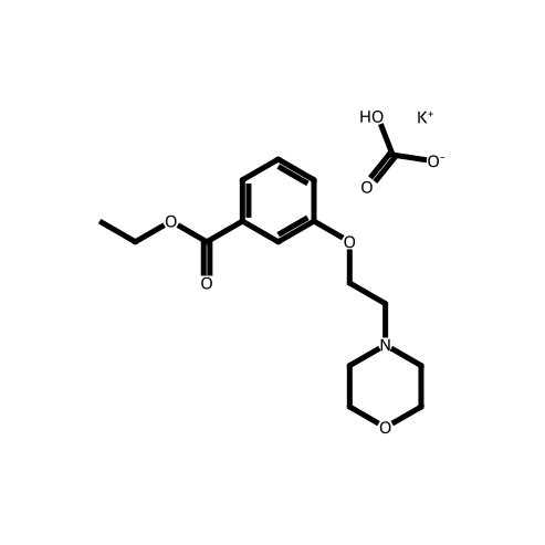 CCOC(=O)c1cccc(OCCN2CCOCC2)c1.O=C([O-])O.[K+]